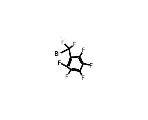 Fc1c(F)c(F)c(C(F)(F)Br)c(F)c1F